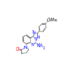 COc1ccc(-c2nc3c4cccc(N5CCCC5=O)c4nc(N)n3n2)cc1